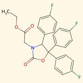 CCOC(=O)CN1C(=O)OC(c2ccc(F)cc2)(c2ccc(F)cc2)C1c1ccc(F)cc1